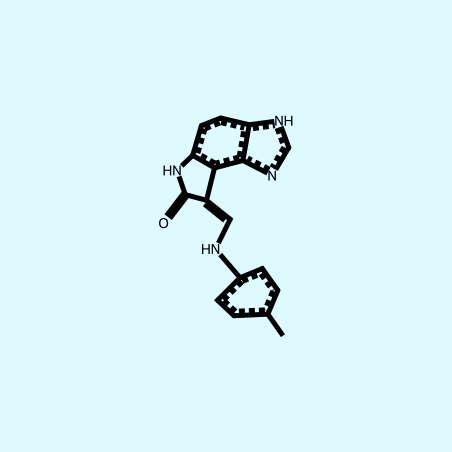 Cc1ccc(NC=C2C(=O)Nc3ccc4[nH]cnc4c32)cc1